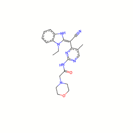 CCN1C(=C(C#N)c2nc(NC(=O)CN3CCOCC3)ncc2C)Nc2ccccc21